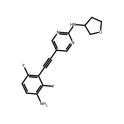 Nc1ccc(F)c(C#Cc2cnc(NC3CCOC3)nc2)c1F